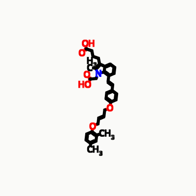 Cc1ccc(OCC=CCOc2ccc(C=Cc3cccc4c(CCCC(=O)O)c(C)n(CC(=O)O)c34)cc2)c(C)c1